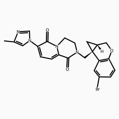 Cc1cn(-c2ccc3n(c2=O)CCN(C[C@@]24C[C@@H]2COc2ccc(Br)cc24)C3=O)cn1